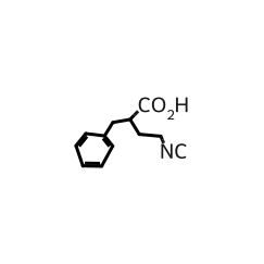 [C-]#[N+]CCC(Cc1ccccc1)C(=O)O